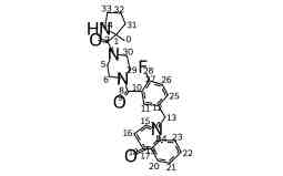 CC1(C(=O)N2CCN(C(=O)c3cc(Cn4ccc(=O)c5ccccc54)ccc3F)CC2)CCCN1